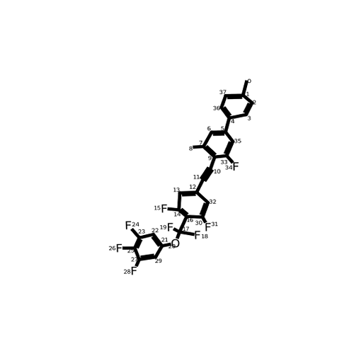 Cc1ccc(-c2cc(C)c(C#Cc3cc(F)c(C(F)(F)Oc4cc(F)c(F)c(F)c4)c(F)c3)c(F)c2)cc1